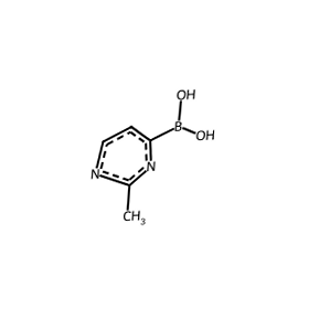 Cc1nccc(B(O)O)n1